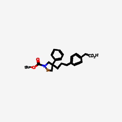 CC(C)(C)OC(=O)N1CC(CCCc2ccc(CC(=O)O)cc2)(c2ccccc2)CS1